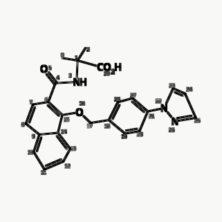 CC(C)(NC(=O)c1ccc2ccccc2c1OCc1ccc(-n2cccn2)cc1)C(=O)O